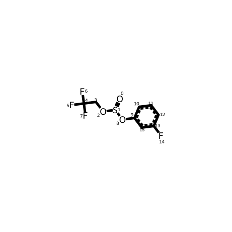 O=S(OCC(F)(F)F)Oc1cccc(F)c1